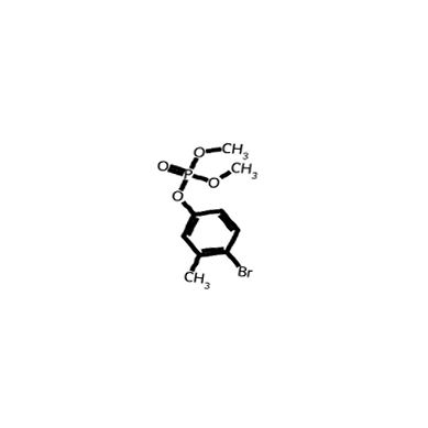 COP(=O)(OC)Oc1ccc(Br)c(C)c1